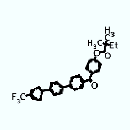 CCC(C)(C)C(=O)Oc1ccc(C(=O)c2ccc(-c3ccc(-c4ccc(C(F)(F)F)cc4)cc3)cc2)cc1